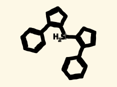 C1=CC(c2ccccc2)=C([SiH2]C2=C(c3ccccc3)C=CC2)C1